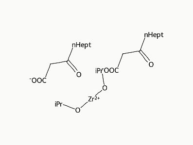 CC(C)[O][Zr+2][O]C(C)C.CCCCCCCC(=O)CC(=O)[O-].CCCCCCCC(=O)CC(=O)[O-]